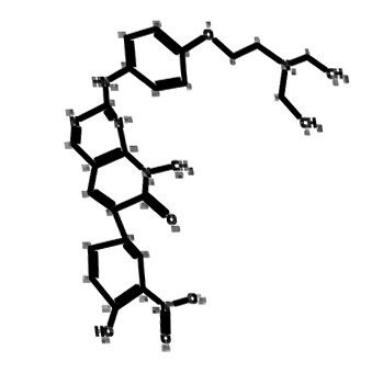 CCN(CC)CCOc1ccc(Nc2ncc3cc(-c4ccc(O)c([N+](=O)[O-])c4)c(=O)n(C)c3n2)cc1